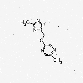 Cc1cnc(OCc2nc(C)no2)cn1